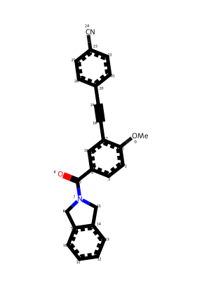 COc1ccc(C(=O)N2Cc3ccccc3C2)cc1C#Cc1ccc(C#N)cc1